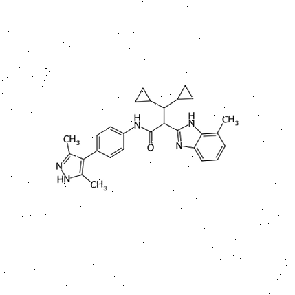 Cc1n[nH]c(C)c1-c1ccc(NC(=O)C(c2nc3cccc(C)c3[nH]2)C(C2CC2)C2CC2)cc1